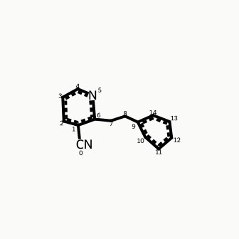 N#Cc1cccnc1CCc1ccccc1